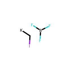 FB(F)F.[K][CH2]I